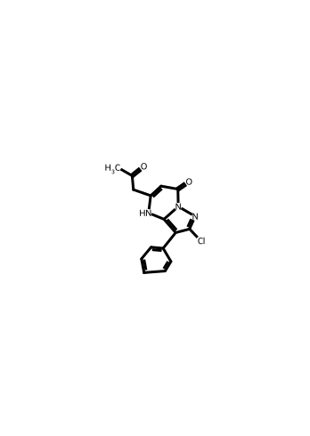 CC(=O)Cc1cc(=O)n2nc(Cl)c(-c3ccccc3)c2[nH]1